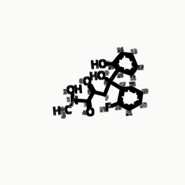 CN(O)C(=O)C(=O)CC(O)(c1ccccc1O)c1ccccc1F